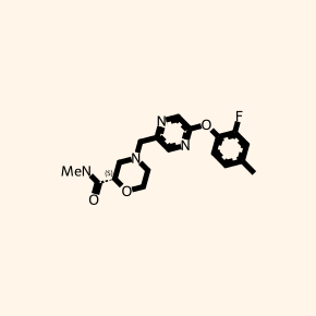 CNC(=O)[C@@H]1CN(Cc2cnc(Oc3ccc(C)cc3F)cn2)CCO1